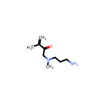 C=C(C)C(=O)CN(C)CCCN